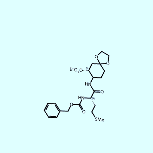 CCOC(=O)[C@@H]1CC2(CCC1NC(=O)[C@H](CCSC)NC(=O)OCc1ccccc1)OCCO2